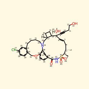 C[C@@H]1[C@@H](C)C/C=C/[C@](O)(C#CCCO)[C@@H]2CC[C@H]2CN2CCCCc3cc(Cl)ccc3COc3ccc(cc32)C(=O)NS1(=O)=O